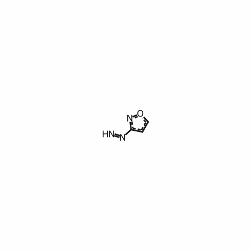 N=Nc1ccon1